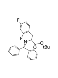 CC(C)(C)OC(=O)C(Cc1ccc(F)cc1F)N=C(c1ccccc1)c1ccccc1